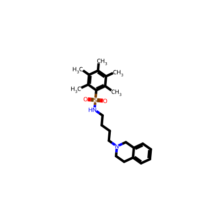 Cc1c(C)c(C)c(S(=O)(=O)NCCCCN2CCc3ccccc3C2)c(C)c1C